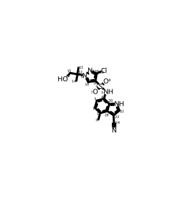 Cc1ccc(NS(=O)(=O)c2cn(C(C)(C)CO)nc2Cl)c2[nH]cc(C#N)c12